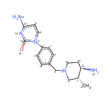 C[C@@H]1CN(Cc2ccc(-n3ccc(N)nc3=O)cc2)CC[C@H]1N